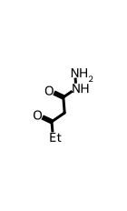 CCC(=O)CC(=O)NN